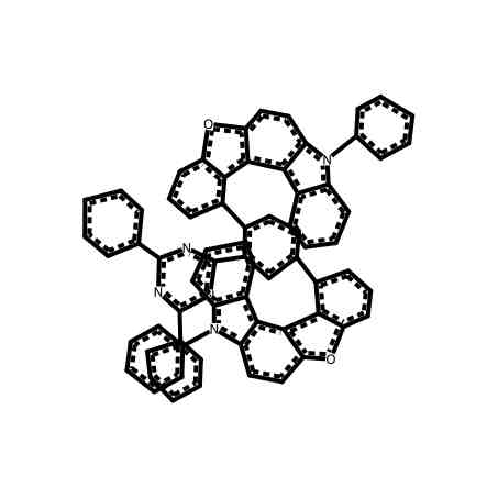 c1ccc(-c2nc(-c3ccccc3)nc(-c3cc(-c4cccc5oc6ccc7c(c8ccccc8n7-c7ccccc7)c6c45)ccc3-c3cccc4oc5ccc6c(c7ccccc7n6-c6ccccc6)c5c34)n2)cc1